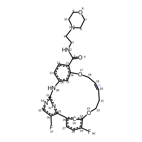 O=C(NCCN1CCOCC1)c1ccc2cc1OC/C=C\CCOc1cc(ccc1F)-c1nc(ncc1F)N2